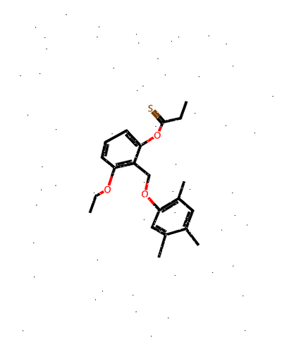 CCOc1cccc(OC(=S)CC)c1COc1cc(C)c(C)cc1C